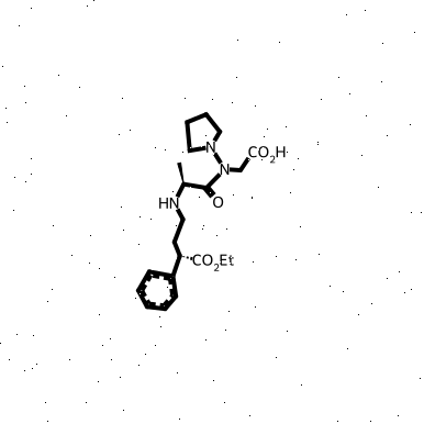 CCOC(=O)[C@@H](CCN[C@@H](C)C(=O)N(CC(=O)O)N1CCCC1)c1ccccc1